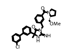 COC[C@H]1CCCN1C(=O)c1cccc(CN2C(=N)NC(C)(c3cccc(-c4cccc(Cl)c4)c3)C2=O)c1